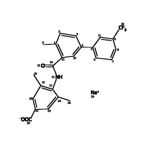 Cc1ccc(-c2cccc(C(F)(F)F)c2)cc1C(=O)Nc1c(C)cc(C(=O)[O-])cc1C.[Na+]